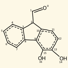 O=CC1c2ccccc2-c2c1ccc(O)c2O